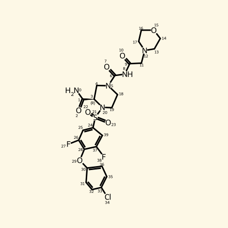 NC(=O)[C@H]1CN(C(=O)NC(=O)CN2CCOCC2)CCN1S(=O)(=O)c1cc(F)c(Oc2ccc(Cl)cc2)c(F)c1